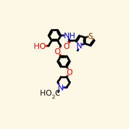 Cn1c(C(=O)Nc2cccc(CO)c2COc2ccc(OC3CCN(C(=O)O)CC3)cc2)cc2sccc21